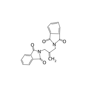 C=C(CN1C(=O)c2ccccc2C1=O)CN1C(=O)c2ccccc2C1=O